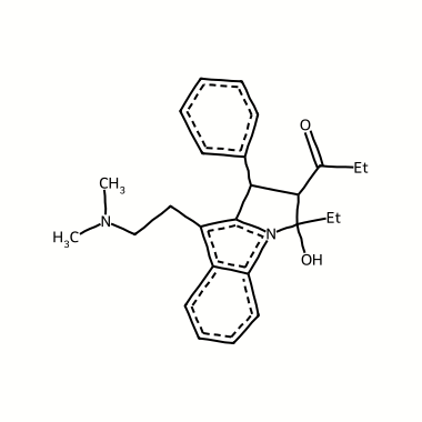 CCC(=O)C1C(c2ccccc2)c2c(CCN(C)C)c3ccccc3n2C1(O)CC